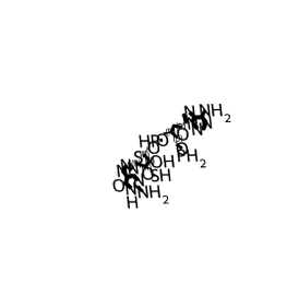 Nc1nc2c(nnn2[C@@H]2S[C@H](COPOC[C@H]3C[C@H](c4cnc5c(N)ncnn45)O[C@@H]3COP)[C@@H](O)[C@H]2OS)c(=O)[nH]1